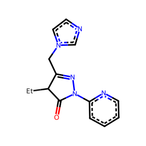 CCC1C(=O)N(c2ccccn2)N=C1Cn1ccnc1